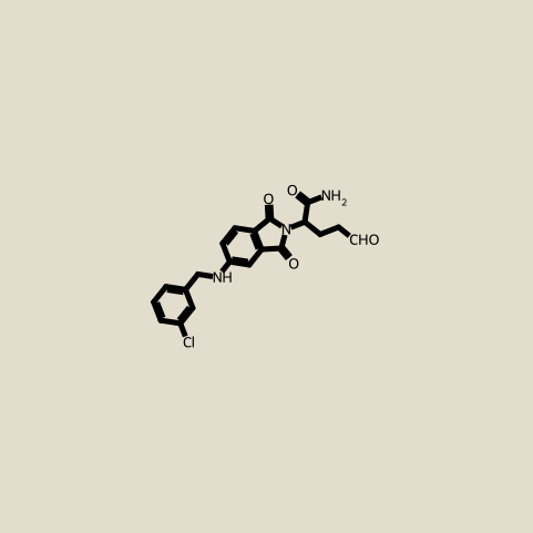 NC(=O)C(CCC=O)N1C(=O)c2ccc(NCc3cccc(Cl)c3)cc2C1=O